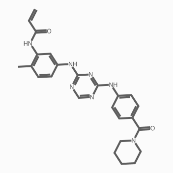 C=CC(=O)Nc1cc(Nc2ncnc(Nc3ccc(C(=O)N4CCCCC4)cc3)n2)ccc1C